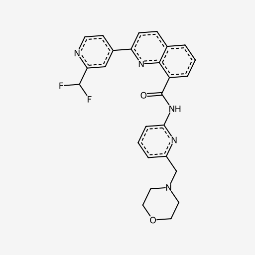 O=C(Nc1cccc(CN2CCOCC2)n1)c1cccc2ccc(-c3ccnc(C(F)F)c3)nc12